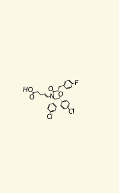 O=C(O)CCC=CN1C(=O)[C@@H](Cc2ccc(F)cc2)O[C@H](c2ccc(Cl)cc2)[C@@H]1c1ccc(Cl)cc1